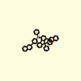 c1ccc(N(c2ccc(-c3ccc4ccccc4c3)cc2)c2ccc(-c3ccc4ccccc4c3)c3c2-c2ccccc2C3(c2ccccc2)c2ccccc2)cc1